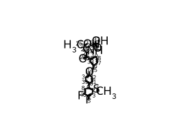 CSc1cc(F)c(F)cc1-c1ccc(OCc2cccc(C(=O)C(CC(C)O)NCC(=O)O)c2)cc1